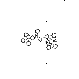 c1ccc(N(c2cccc(-c3ccc4c(c3)C3(c5ccccc5-4)c4ccccc4C4(c5ccccc5-c5ccccc54)c4ccccc43)c2)c2ccc3c(c2)-c2ccccc2C3(c2ccccc2)c2ccccc2)cc1